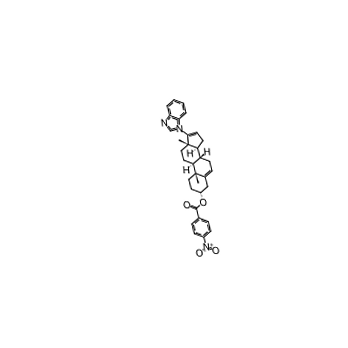 C[C@]12CC[C@@H](OC(=O)c3ccc([N+](=O)[O-])cc3)CC1=CC[C@@H]1[C@@H]2CC[C@]2(C)C(n3cnc4ccccc43)=CC[C@@H]12